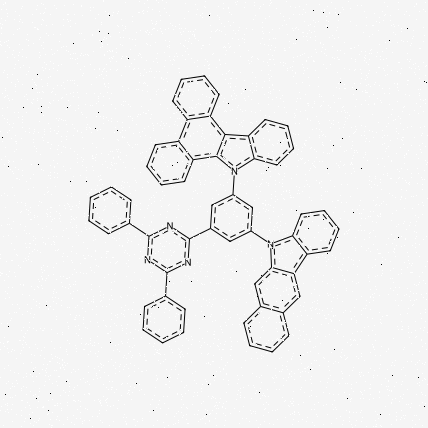 c1ccc(-c2nc(-c3ccccc3)nc(-c3cc(-n4c5ccccc5c5cc6ccccc6cc54)cc(-n4c5ccccc5c5c6ccccc6c6ccccc6c54)c3)n2)cc1